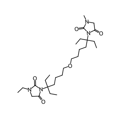 CCN1CC(=O)N(C(CC)(CC)CCCCOCCCCC(CC)(CC)N2C(=O)CN(C)C2=O)C1=O